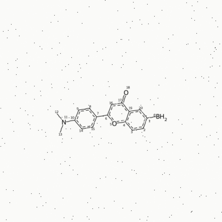 Bc1ccc2oc(-c3ccc(N(C)C)cc3)cc(=O)c2c1